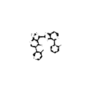 Cc1ccncc1-c1cnc2[nH]nc(-c3nc4c(-c5ccccc5F)nccc4[nH]3)c2c1F